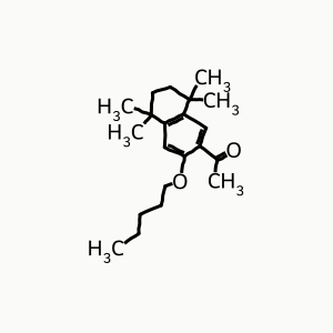 CCCCCOc1cc2c(cc1C(C)=O)C(C)(C)CCC2(C)C